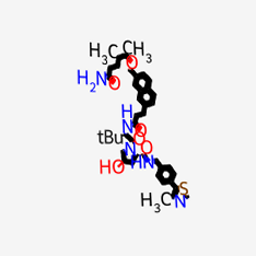 Cc1ncsc1-c1ccc(CNC(=O)[C@@H]2C[C@@H](O)CN2C(=O)[C@@H](NC(=O)CCc2ccc3ccc(CO[C@H](C)[C@@H](C)CCC(N)=O)cc3c2)C(C)(C)C)cc1